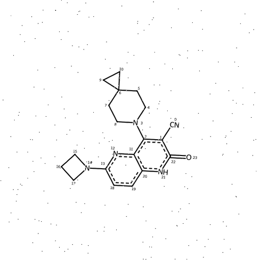 N#Cc1c(N2CCC3(CC2)CC3)c2nc(N3CCC3)ccc2[nH]c1=O